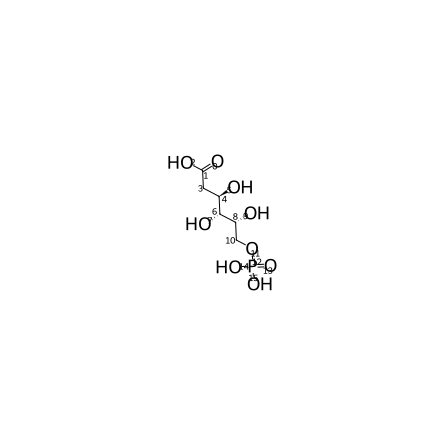 O=C(O)C[C@@H](O)[C@@H](O)[C@H](O)COP(=O)(O)O